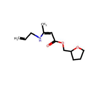 C=CCNC(C)=CC(=O)OCC1CCCO1